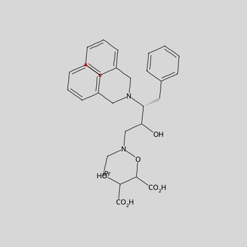 CC(C)CN(CC(O)[C@@H](Cc1ccccc1)N(Cc1ccccc1)Cc1ccccc1)OC(C(=O)O)C(O)C(=O)O